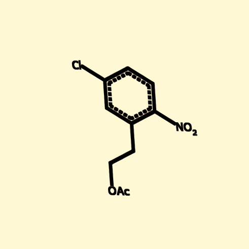 CC(=O)OCCc1cc(Cl)ccc1[N+](=O)[O-]